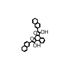 Oc1c(-c2ccc3c(c2)C=CCC3)oc2c3oc(-c4ccc5c(c4)C=CCC5)c(O)c3c3ccccc3c12